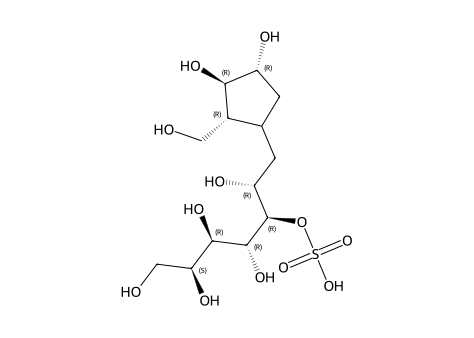 O=S(=O)(O)O[C@@H]([C@H](O)[C@H](O)[C@@H](O)CO)[C@H](O)CC1C[C@@H](O)[C@H](O)[C@H]1CO